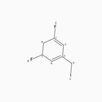 FC1=CC(CI)=CC(F)C1